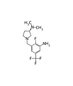 CN(C)[C@@H]1CCN(Cc2cc(C(F)(F)F)cc(N)c2F)C1